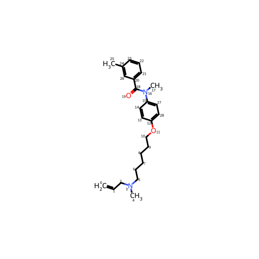 C=CCN(C)CCCCCCOc1ccc(N(C)C(=O)c2cccc(C)c2)cc1